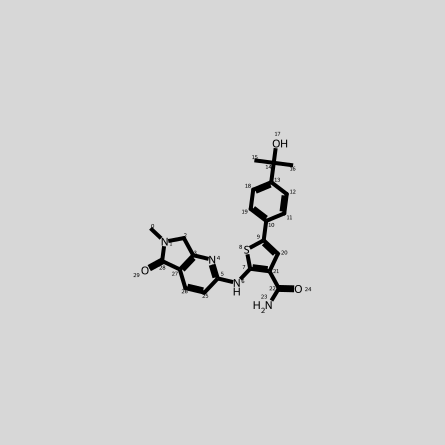 CN1Cc2nc(Nc3sc(-c4ccc(C(C)(C)O)cc4)cc3C(N)=O)ccc2C1=O